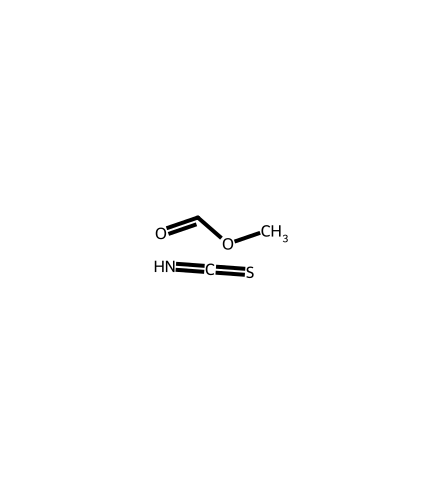 COC=O.N=C=S